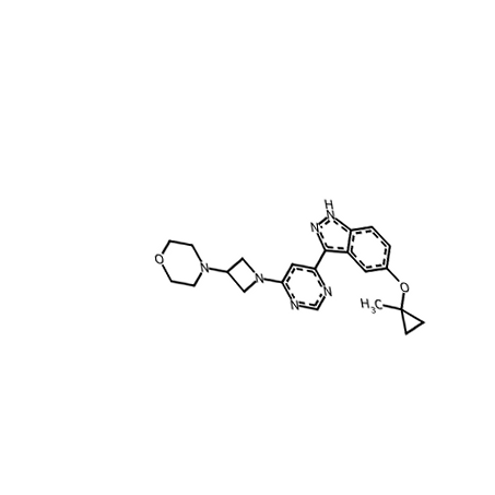 CC1(Oc2ccc3[nH]nc(-c4cc(N5CC(N6CCOCC6)C5)ncn4)c3c2)CC1